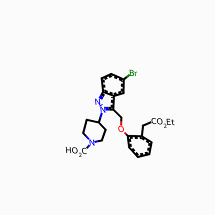 CCOC(=O)Cc1ccccc1OCc1c2cc(Br)ccc2nn1C1CCN(C(=O)O)CC1